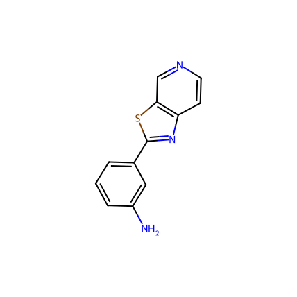 Nc1cccc(-c2nc3ccncc3s2)c1